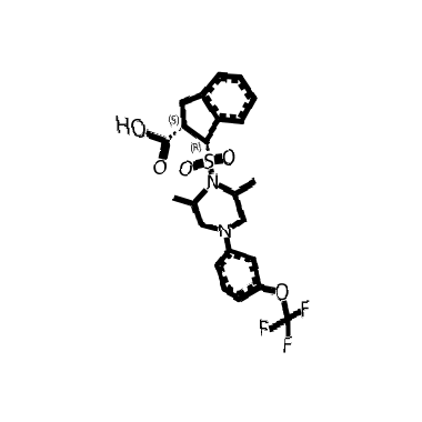 CC1CN(c2cccc(OC(F)(F)F)c2)CC(C)N1S(=O)(=O)[C@H]1c2ccccc2C[C@H]1C(=O)O